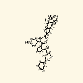 O=C(N[C@H](C(=O)N1CCCC1C(=O)N1CCOC(c2ccccc2)C1)C1CCNCC1)c1cc2cc(C(F)(F)P(=O)(O)O)ccc2s1